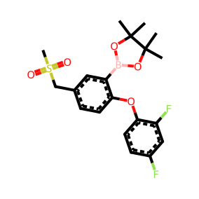 CC1(C)OB(c2cc(CS(C)(=O)=O)ccc2Oc2ccc(F)cc2F)OC1(C)C